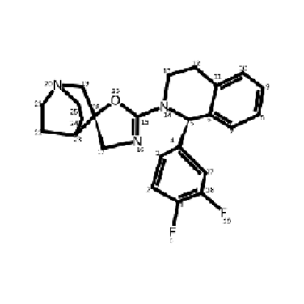 Fc1ccc([C@@H]2c3ccccc3CCN2C2=NC[C@@]3(CN4CCC3CC4)O2)cc1F